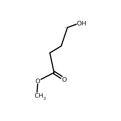 COC(=O)CC[CH]O